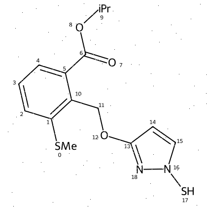 CSc1cccc(C(=O)OC(C)C)c1COc1ccn(S)n1